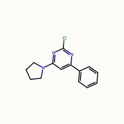 Clc1nc(-c2ccccc2)cc(N2CCCC2)n1